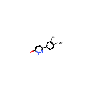 COc1ccc(-c2ccc(=O)[nH]n2)cc1OCC(C)C